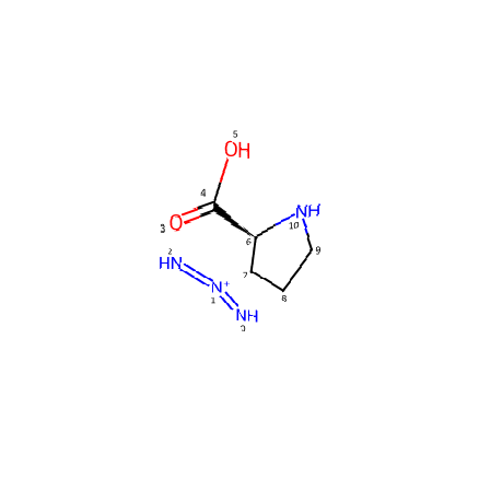 N=[N+]=N.O=C(O)[C@@H]1CCCN1